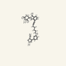 N#CC1CNCC1c1cccc(OCCCCCC#Cc2cccc3c2CN(C2CCC(=O)NC2=O)C3=O)c1